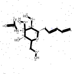 C=C/C=C/C[C@@H]1OC(COO)[C@H](O)[C@@](NC(=O)C(F)(F)F)(OO)[C@H]1OO